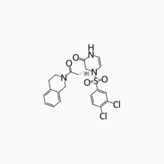 O=C1NC=CN(S(=O)(=O)c2ccc(Cl)c(Cl)c2)[C@@H]1CC(=O)N1CCc2ccccc2C1